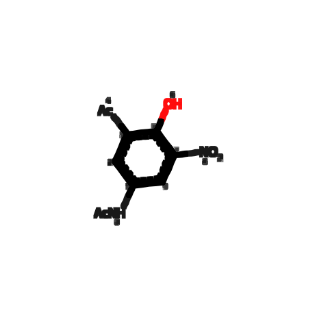 CC(=O)Nc1cc(C(C)=O)c(O)c([N+](=O)[O-])c1